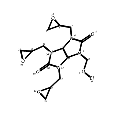 CCOCN1C(=O)N(CC2CO2)C2C1N(CC1CO1)C(=O)N2CC1CO1